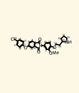 COc1cc(N2C(=O)c3ccc(Oc4ccc(Cl)cc4)cc3C2=O)ccc1OCCC1CCCN1